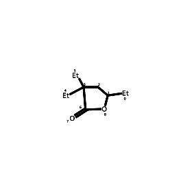 [CH2]CC1CC(CC)(CC)C(=O)O1